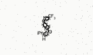 CC(C)[C@@H]1CN(C(=O)c2ccc3cc(Oc4ccc(C(F)(F)F)cn4)ccc3n2)CCN1